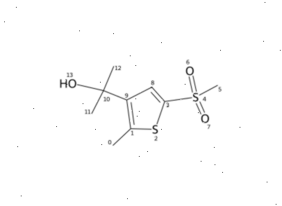 Cc1sc(S(C)(=O)=O)cc1C(C)(C)O